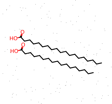 CCCCCCCCCCCCCCCCC(=O)O.CCCCCCCCCCCCCCCCCCC(=O)O